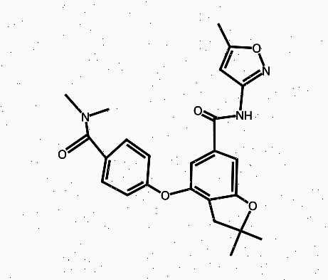 Cc1cc(NC(=O)c2cc(Oc3ccc(C(=O)N(C)C)cc3)c3c(c2)OC(C)(C)C3)no1